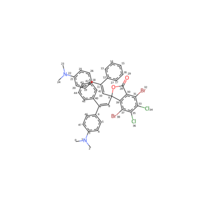 CN(C)c1ccc(C(=CC2(C=C(c3ccccc3)c3ccc(N(C)C)cc3)OC(=O)c3c(Br)c(Cl)c(Cl)c(Br)c32)c2ccccc2)cc1